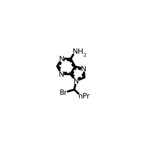 CCCC(Br)n1cnc2c(N)ncnc21